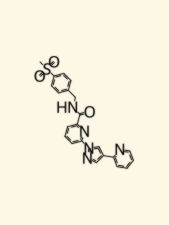 CS(=O)(=O)c1ccc(CNC(=O)c2cccc(-n3cc(-c4ccccn4)cn3)n2)cc1